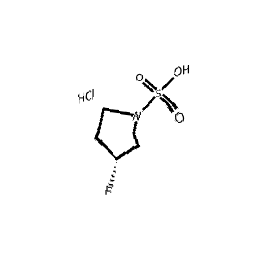 Cl.O=S(=O)(O)N1CC[C@@H](F)C1